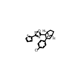 CN1[C@H]2CC[C@@H]1C(c1nc(-c3cccs3)no1)C(c1ccc(Cl)cc1)C2